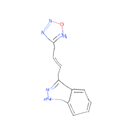 C(=Cc1n[nH]c2ccccc12)c1nnon1